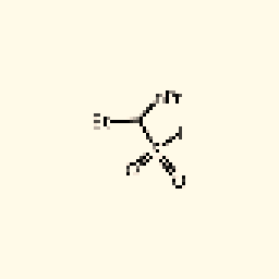 CCCC(CC)S(=O)(=O)I